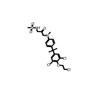 CN(CC(=O)CNS(C)(=O)=O)c1ccc(C(C)(C)c2cc(Cl)c(OCCCl)c(Cl)c2)cc1